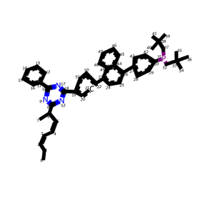 CC/C=C\C=C/C(C)c1nc(-c2ccccc2)nc(-c2ccc(-c3ccc(-c4ccc(P(CC(C)(C)C)CC(C)(C)C)cc4)c4ccccc34)cc2)n1